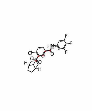 C=CCOCC1C[C@@H]2CC[C@@H](C1)C2S(=O)(=O)c1cc(C(=O)Nc2cc(F)c(F)c(F)c2)ccc1Cl